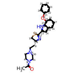 CC(=O)N1CCN(CC[C@@H]2CSC(c3cc4cccc(Oc5ccccc5)c4[nH]3)=N2)CC1